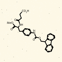 COC(=O)C(Cc1ccc(NC(=O)OCC2c3ccccc3-c3ccccc32)cc1)NC(=O)CCC(=O)O